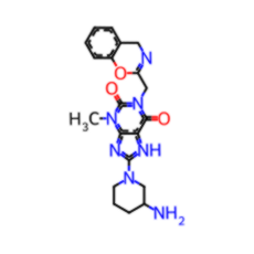 Cn1c(=O)n(CC2=NCc3ccccc3O2)c(=O)c2[nH]c(N3CCCC(N)C3)nc21